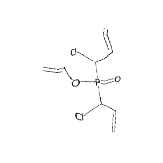 C=COP(=O)(C(Cl)C=C)C(Cl)C=C